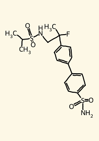 CC(C)S(=O)(=O)NCC(C)(F)c1ccc(-c2ccc(S(N)(=O)=O)cc2)cc1